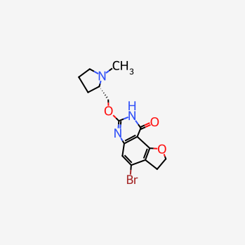 CN1CCC[C@H]1COc1nc2cc(Br)c3c(c2c(=O)[nH]1)OCC3